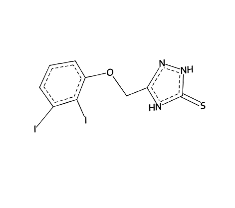 S=c1[nH]nc(COc2cccc(I)c2I)[nH]1